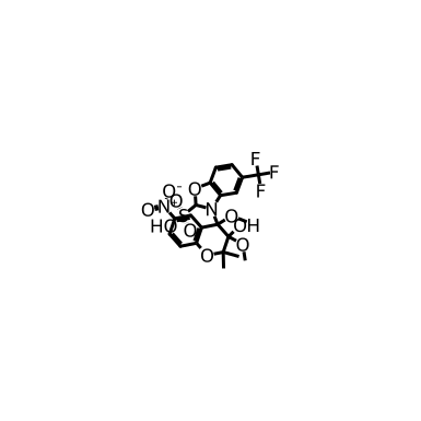 COC1(N2c3cc(C(F)(F)F)ccc3OC2S(=O)(=O)O)c2cc([N+](=O)[O-])ccc2OC(C)(C)C1(O)OC